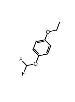 CCOc1c[c]c(OC(F)F)cc1